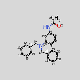 CC(=O)Nc1cccc(N(Cc2ccccc2)Cc2ccccc2)c1